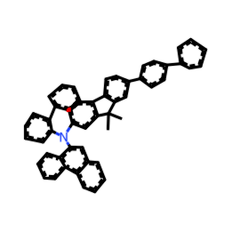 CC1(C)c2cc(-c3ccc(-c4ccccc4)cc3)ccc2-c2ccc(N(c3ccccc3-c3ccccc3)c3cc4ccccc4c4ccccc34)cc21